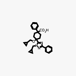 O=C(O)C1(c2ccccc2)CCC(OCC2CC2)(c2nc(-c3ccccc3)nn2CC2CC2)CC1